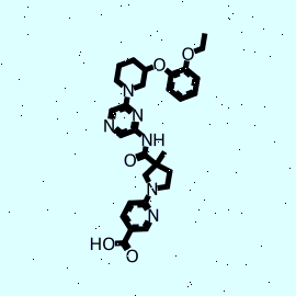 CCOc1ccccc1OC1CCCN(c2cncc(NC(=O)C3(C)CCN(c4ccc(C(=O)O)cn4)C3)n2)C1